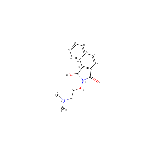 CN(C)CCON1C(=O)c2ccc3ccccc3c2C1=O